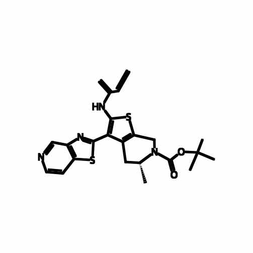 C=CC(=C)Nc1sc2c(c1-c1nc3cnccc3s1)C[C@@H](C)N(C(=O)OC(C)(C)C)C2